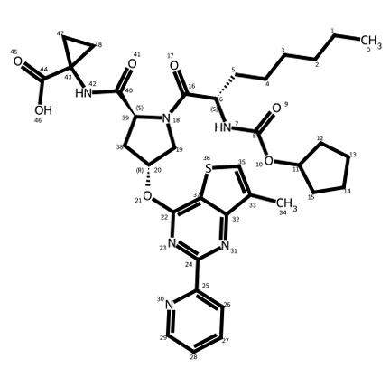 CCCCCC[C@H](NC(=O)OC1CCCC1)C(=O)N1C[C@H](Oc2nc(-c3ccccn3)nc3c(C)csc23)C[C@H]1C(=O)NC1(C(=O)O)CC1